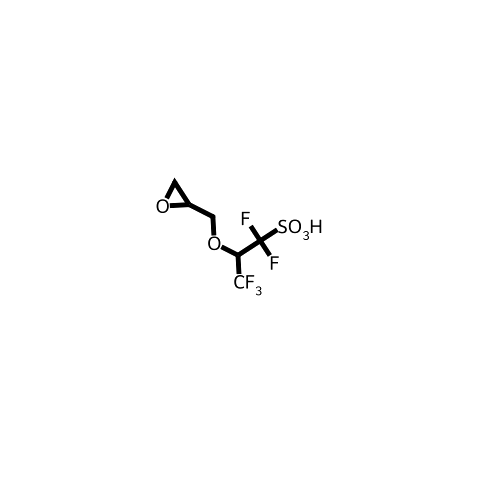 O=S(=O)(O)C(F)(F)C(OCC1CO1)C(F)(F)F